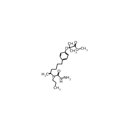 C=C(CCCCc1ccc(OC(C)(C)C(=O)OC)cc1)N(CCC)C(=O)NN